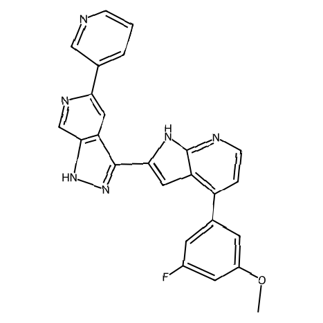 COc1cc(F)cc(-c2ccnc3[nH]c(-c4n[nH]c5cnc(-c6cccnc6)cc45)cc23)c1